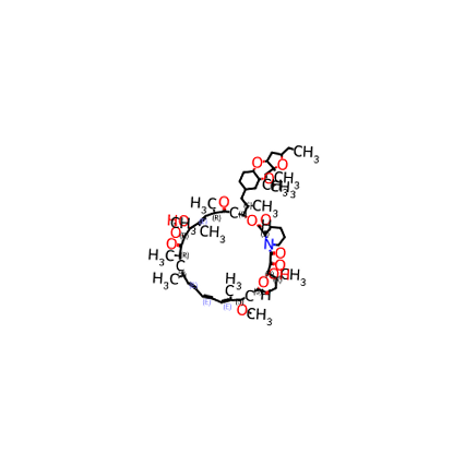 CCC1CC(OC2CCC(C[C@H](C)[C@@H]3CC(=O)[C@H](C)/C=C(\C)C(O)[C@@H](OC)C(=O)[C@H](C)C[C@H](C)/C=C/C=C/C=C(\C)[C@@H](OC)C[C@@H]4CC[C@@H](C)[C@@](O)(O4)C(=O)C(=O)N4CCCC[C@H]4C(=O)O3)CC2OC)C(C)(CC)O1